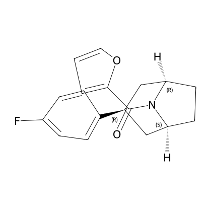 O=C(c1ccco1)N1[C@@H]2CC[C@H]1C[C@@H](c1ccc(F)cc1)C2